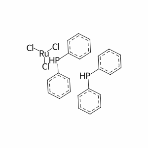 [Cl][Ru]([Cl])[Cl].c1ccc(Pc2ccccc2)cc1.c1ccc(Pc2ccccc2)cc1